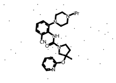 CC(C)N1CCN(c2cccc(C#N)c2NC(=O)N2CCC(C)(Oc3ccccn3)C2)CC1